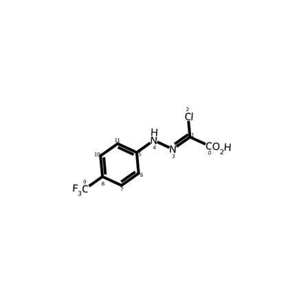 O=C(O)C(Cl)=NNc1ccc(C(F)(F)F)cc1